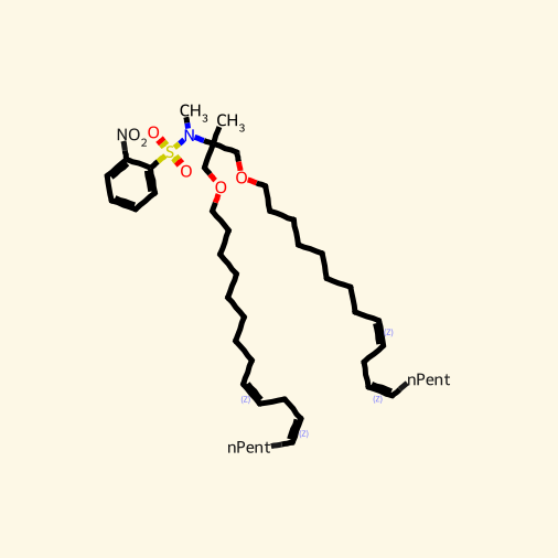 CCCCC/C=C\C/C=C\CCCCCCCCOCC(C)(COCCCCCCCC/C=C\C/C=C\CCCCC)N(C)S(=O)(=O)c1ccccc1[N+](=O)[O-]